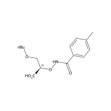 CCCCOC[C@@H](ONC(=O)c1ccc(C)cc1)C(=O)O